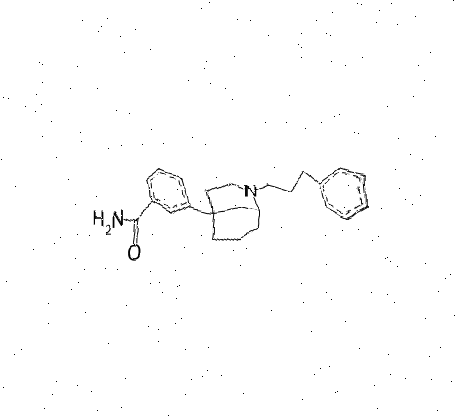 NC(=O)c1cccc(C23CCCC(C2)N(CCCc2ccccc2)CC3)c1